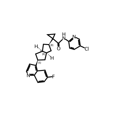 O=C(Nc1ccc(Cl)cn1)C1([C@H]2C[C@H]3C[C@@H](c4ccnc5ccc(F)cc45)C[C@H]3C2)CC1